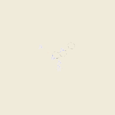 Fc1ccccc1-c1nc2cc(OCC34CCCN3CCC4)nc(N3CC4CCC(C3)N4)c2cc1F